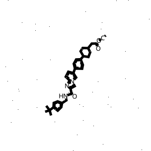 CCOC(=O)CC1CCC(c2ccc(-c3ccc4nc(C(=O)NCc5ccc(C(C)(C)C)cc5)cn4c3)cc2)CC1